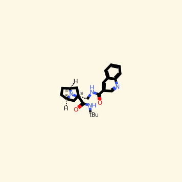 CC(C)(C)NC(=O)CN1[C@@H]2CC[C@H]1C[C@H](CNC(=O)c1cnc3ccccc3c1)C2